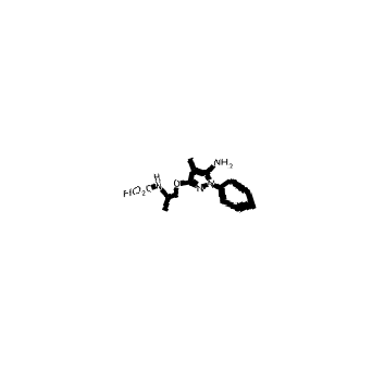 Cc1c(OCC(C)NC(=O)O)nn(-c2ccccc2)c1N